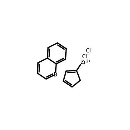 [Cl-].[Cl-].[Zr+2][C]1=CC=CC1.b1cccc2ccccc12